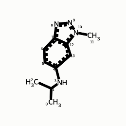 CC(C)Nc1ccc2nnn(C)c2c1